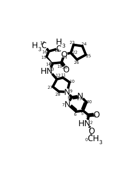 CONC(=O)c1cnc(N2CCC(N[C@@H](CC(C)C)C(=O)OC3CCCC3)CC2)nc1